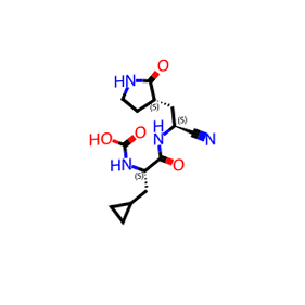 N#C[C@H](C[C@@H]1CCNC1=O)NC(=O)[C@H](CC1CC1)NC(=O)O